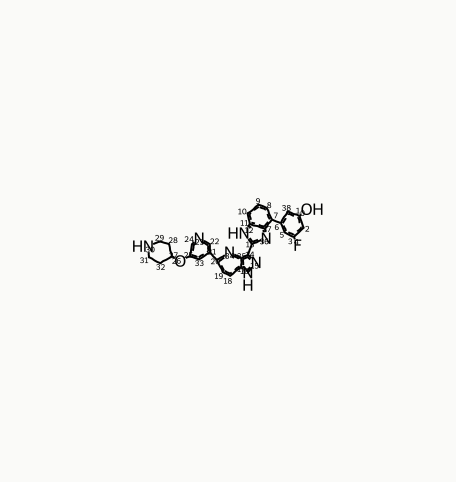 Oc1cc(F)cc(-c2cccc3[nH]c(-c4n[nH]c5ccc(-c6cncc(OC7CCNCC7)c6)nc45)nc23)c1